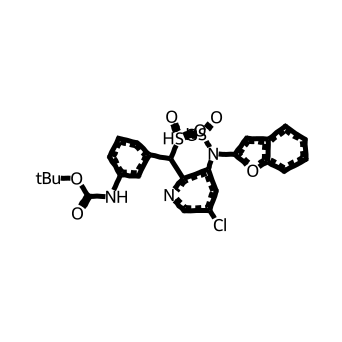 CC(C)(C)OC(=O)Nc1cccc(C(c2ncc(Cl)cc2N(c2cc3ccccc3o2)[SH](=O)=O)[SH](=O)=O)c1